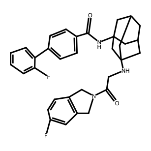 O=C(NC12CC3CC(CC(NCC(=O)N4Cc5ccc(F)cc5C4)(C3)C1)C2)c1ccc(-c2ccccc2F)cc1